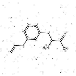 C=CCc1cccc(CC(N)C(=O)O)c1